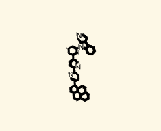 C1=C(c2ccc(C3=NC=C(c4ccc5ccc6cccc7ccc4c5c67)CC3)nc2)CCC=C1n1c2ccccc2c2ccncc21